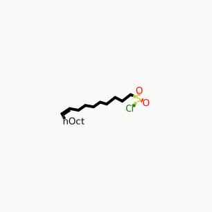 CCCCCCCC/C=C\CCCCCCCCS(=O)(=O)Cl